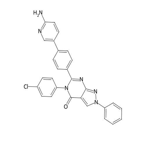 Nc1ccc(-c2ccc(-c3nc4nn(-c5ccccc5)cc4c(=O)n3-c3ccc(Cl)cc3)cc2)cn1